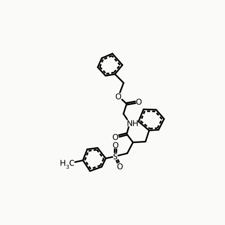 Cc1ccc(S(=O)(=O)CC(Cc2ccccc2)C(=O)NCC(=O)OCc2ccccc2)cc1